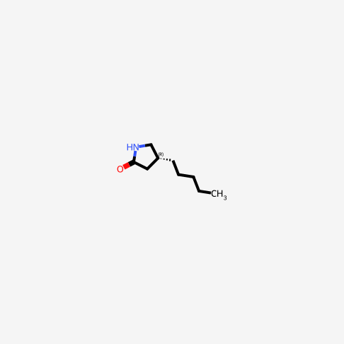 CCCCC[C@H]1CNC(=O)C1